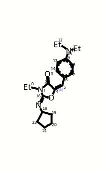 CCN1C(=O)/C(=C\c2ccc(N(CC)CC)cc2)OC1=NC1CCCC1